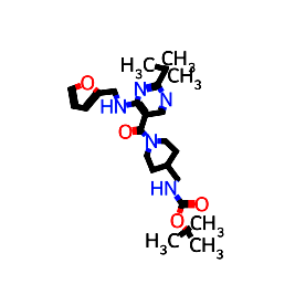 CC(C)(C)OC(=O)NCC1CCN(C(=O)c2cnc(C(C)(C)C)nc2NCc2ccco2)CC1